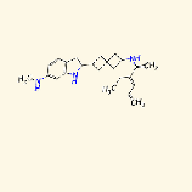 C=C/C=C(\CC)C(=C)NC1CC2(C1)CC(C1Cc3ccc(NC)cc3N1)C2